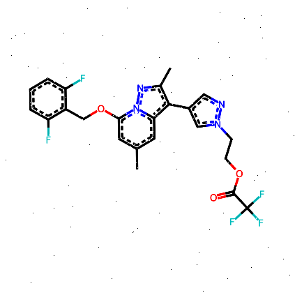 Cc1cc(OCc2c(F)cccc2F)n2nc(C)c(-c3cnn(CCOC(=O)C(F)(F)F)c3)c2c1